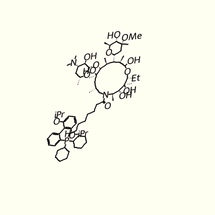 CC[C@H]1OC(O)[C@H](C)C([C@H]2C[C@@](C)(OC)[C@@H](O)[C@H](C)O2)[C@H](C)[C@@H](O[C@@H]2O[C@H](C)C[C@H](N(C)C)[C@H]2O)[C@](C)(O)C[C@@H](C)CN(C(=O)CCCCCCC[PH](c2ccccc2-c2c(OC(C)C)cccc2OC(C)C)(C2CCCCC2)C2CCCCC2)[C@H](C)[C@@H](O)[C@]1(C)O